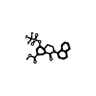 COC(=O)c1cc(OS(=O)(=O)C(F)(F)F)c2c(c1)C(=O)N(c1cccc3ccccc13)CC2